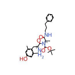 Cc1cc(O)cc(C)c1C[C@@H](N)C(=O)N(C(=O)OC(C)(C)C)[C@H](C)C(=O)NCCCc1ccccc1